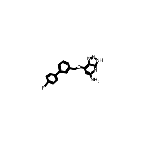 Nc1cc(OCc2cccc(-c3ccc(F)cc3)c2)c2nn[nH]c2n1